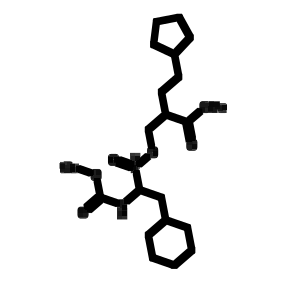 COC(=O)C(CCC1CCCC1)CO[PH](=O)C(CC1CCCCC1)NC(=O)OC(C)(C)C